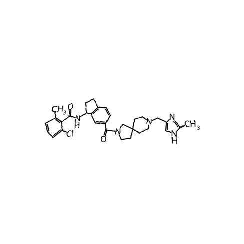 Cc1nc(CN2CCC3(CC2)CCN(C(=O)c2ccc4c(c2)C(NC(=O)c2c(C)cccc2Cl)CC4)C3)c[nH]1